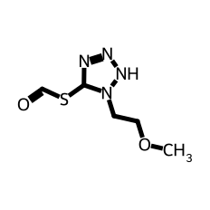 COCCN1NN=NC1SC=O